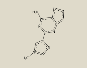 Cn1cnc(-c2nc(N)c3ccsc3n2)c1